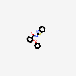 O=C(Nc1nc2c(s1)CCCC2)c1ccccc1Oc1ccccc1